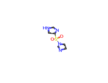 O=S(=O)(c1c[nH]cn1)n1ccnc1